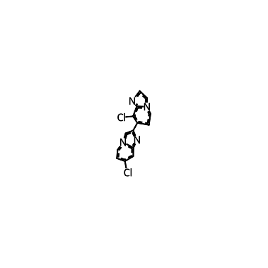 Clc1ccn2cc(-c3ccn4ccnc4c3Cl)nc2c1